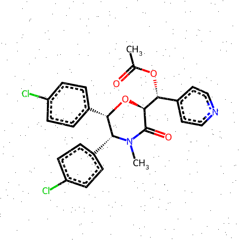 CC(=O)O[C@H](c1ccncc1)[C@@H]1O[C@@H](c2ccc(Cl)cc2)[C@@H](c2ccc(Cl)cc2)N(C)C1=O